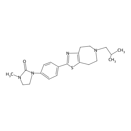 CC(C)CN1CCc2nc(-c3ccc(N4CCN(C)C4=O)cc3)sc2CC1